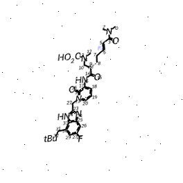 CN(C)C(=O)/C=C/CC[C@@H](CN(C)C(=O)O)C(=O)Nc1cccn(Cc2nc3cc(F)cc(CC(C)(C)C)c3[nH]2)c1=O